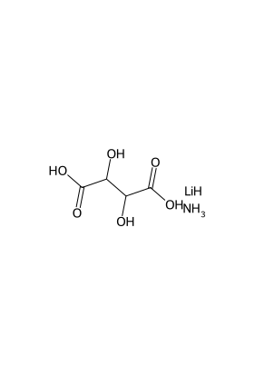 N.O=C(O)C(O)C(O)C(=O)O.[LiH]